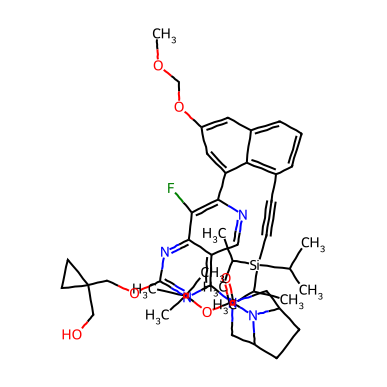 COCOc1cc(-c2ncc3c(N4CC5CCC(C4)N5C(=O)OC(C)(C)C)nc(OCC4(CO)CC4)nc3c2F)c2c(C#C[Si](C(C)C)(C(C)C)C(C)C)cccc2c1